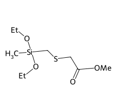 CCO[Si](C)(CSCC(=O)OC)OCC